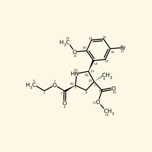 CCOC(=O)[C@@H]1C[C@](C)(C(=O)OC)[C@H](c2cc(Br)ccc2OC)N1